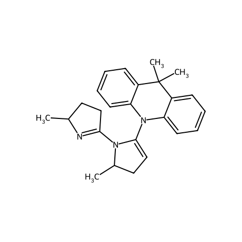 CC1CCC(N2C(N3c4ccccc4C(C)(C)c4ccccc43)=CCC2C)=N1